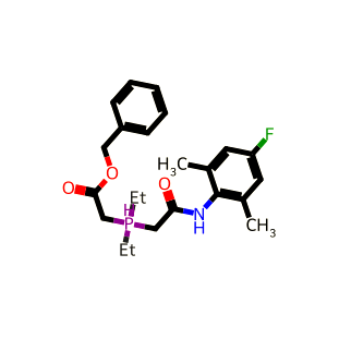 CC[PH](CC)(CC(=O)Nc1c(C)cc(F)cc1C)CC(=O)OCc1ccccc1